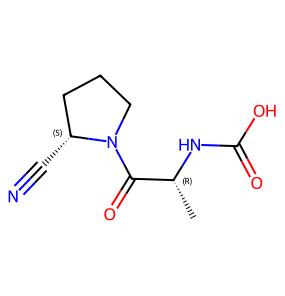 C[C@@H](NC(=O)O)C(=O)N1CCC[C@H]1C#N